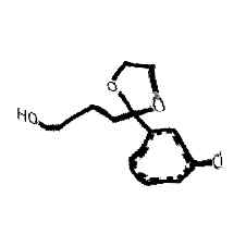 OCCCC1(c2cccc(Cl)c2)OCCO1